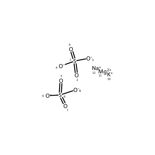 O=S(=O)([O-])[O-].O=S(=O)([O-])[O-].[K+].[Mg+2].[Na+]